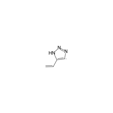 C=Cc1[c]nn[nH]1